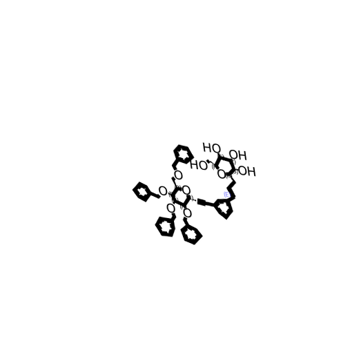 OC[C@H]1O[C@H](C/C=C/c2cccc(C#C[C@H]3O[C@H](COCc4ccccc4)[C@@H](OCc4ccccc4)[C@H](OCc4ccccc4)[C@@H]3OCc3ccccc3)c2)[C@@H](O)[C@@H](O)[C@@H]1O